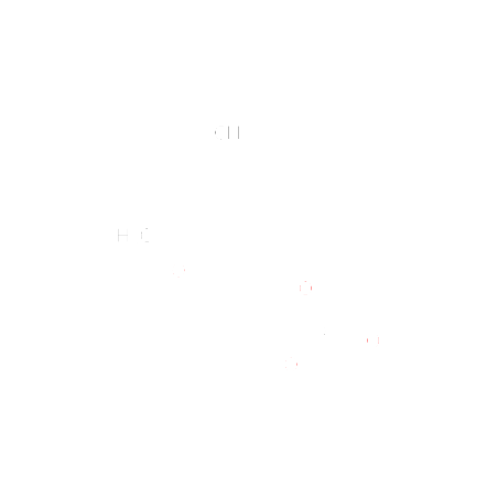 CC=CC(OC)C1COC(=O)O1